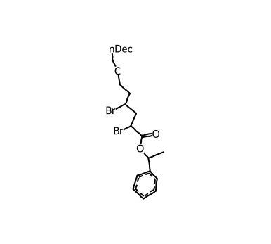 CCCCCCCCCCCCCCC(Br)CC(Br)C(=O)OC(C)c1ccccc1